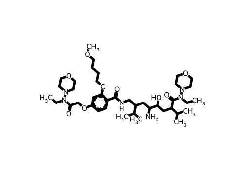 CCN(C(=O)COc1ccc(C(=O)NCC(CC(N)C(O)CC(C(=O)N(CC)N2CCOCC2)C(C)C)C(C)C)c(OCCCCOC)c1)N1CCOCC1